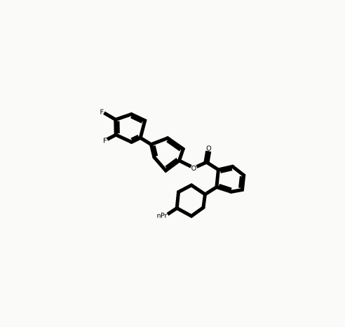 CCCC1CCC(c2ccccc2C(=O)Oc2ccc(-c3ccc(F)c(F)c3)cc2)CC1